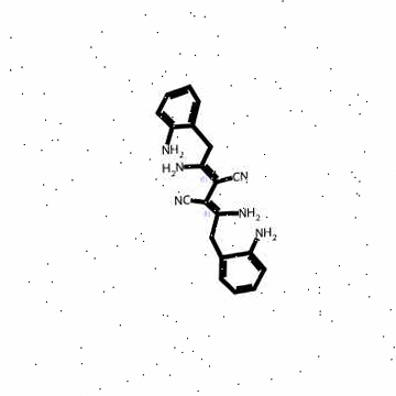 N#CC(=C(/N)Cc1ccccc1N)/C(C#N)=C(\N)Cc1ccccc1N